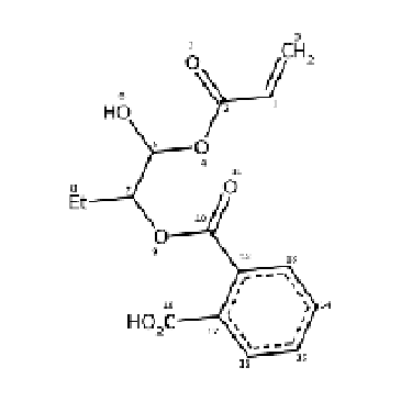 C=CC(=O)OC(O)C(CC)OC(=O)c1ccccc1C(=O)O